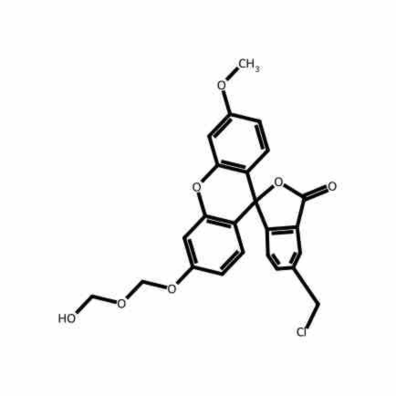 COc1ccc2c(c1)Oc1cc(OCOCO)ccc1C21OC(=O)c2cc(CCl)ccc21